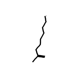 [CH2]CCCCCCC(=C)C